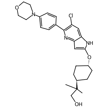 CC(C)(CO)[C@H]1CC[C@H](Oc2cc3nc(-c4ccc(N5CCOCC5)cc4)c(Cl)cc3[nH]2)CC1